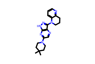 CC1(C)CCN(c2cnc3c(N4CCCc5ncccc54)n[nH]c3n2)CC1